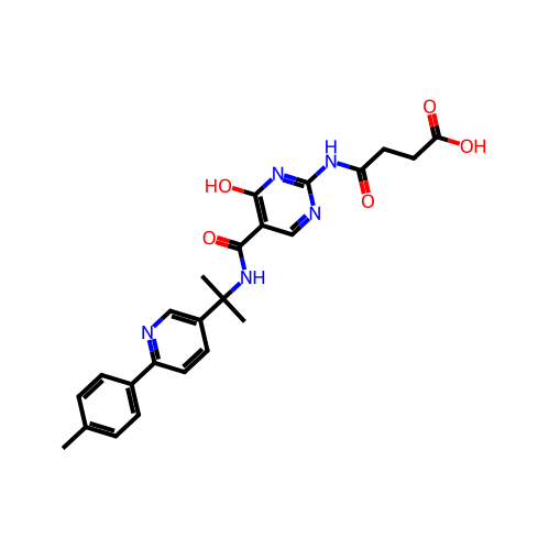 Cc1ccc(-c2ccc(C(C)(C)NC(=O)c3cnc(NC(=O)CCC(=O)O)nc3O)cn2)cc1